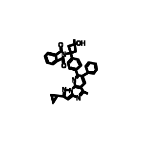 Cc1nc2cc(C3CC3)nn2c2nc(-c3ccc(C4(N5C(=O)c6ccccc6C5=O)CC(C)(O)C4)cc3)c(-c3ccccc3)cc12